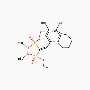 CCCCOP(=O)(OCCCC)C(=Cc1cc(C(C)(C)C)c(O)c2c1CCCC2)P(=O)(OCCCC)OCCCC